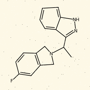 [CH2]C(c1n[nH]c2ccccc12)N1Cc2ccc(F)cc2C1